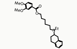 CCN(CCCCCCOC(=O)c1ccc(OC)c(OC)c1)C1CCc2ccccc2C1